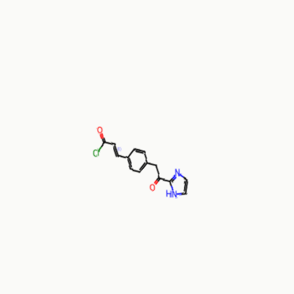 O=C(Cl)/C=C/c1ccc(CC(=O)c2ncc[nH]2)cc1